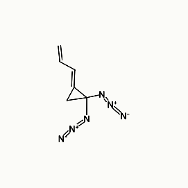 C=C/C=C1\CC1(N=[N+]=[N-])N=[N+]=[N-]